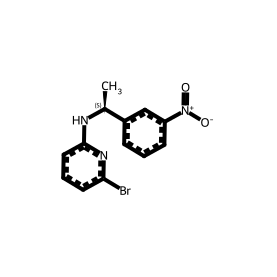 C[C@H](Nc1cccc(Br)n1)c1cccc([N+](=O)[O-])c1